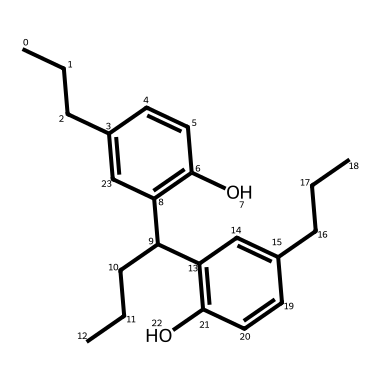 CCCc1ccc(O)c(C(CCC)c2cc(CCC)ccc2O)c1